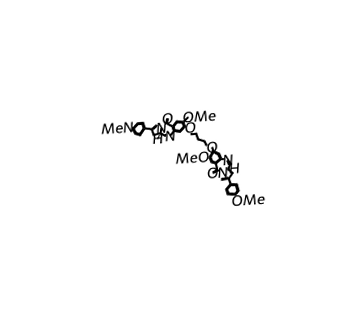 CNc1ccc(C2=CN3C(=O)c4cc(OC)c(OCCCCCOc5cc6c(cc5OC)C(=O)N5C=C(c7ccc(OC)cc7)C[C@H]5C=N6)cc4N=C[C@@H]3C2)cc1